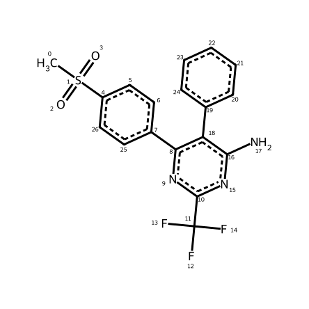 CS(=O)(=O)c1ccc(-c2nc(C(F)(F)F)nc(N)c2-c2ccccc2)cc1